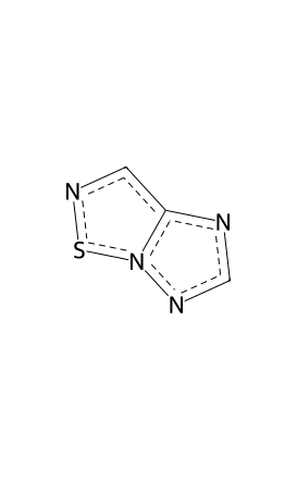 c1nc2cnsn2n1